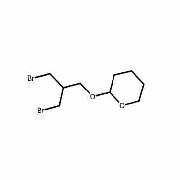 BrCC(CBr)COC1CCCCO1